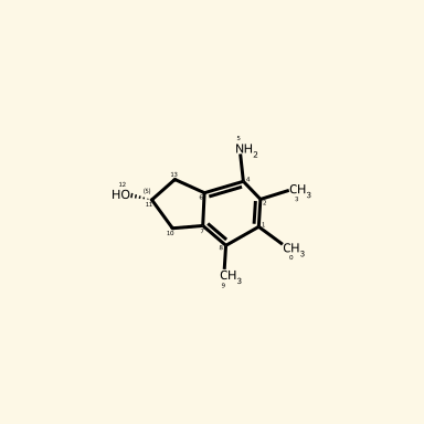 Cc1c(C)c(N)c2c(c1C)C[C@H](O)C2